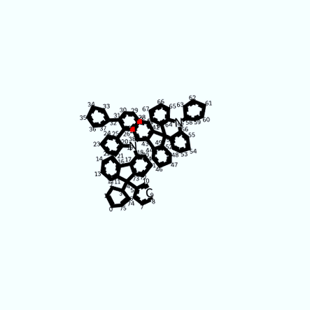 C1=CCC(C2(c3ccccc3)c3ccccc3-c3c(N(c4ccccc4-c4ccccc4-c4ccccc4)c4cccc5c4-c4ccccc4C54c5ccccc5N(c5ccccc5)c5ccccc54)cccc32)C=C1